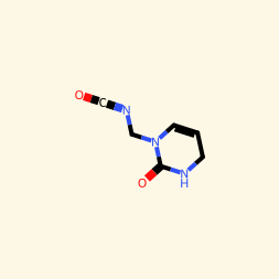 O=C=NCN1C=CCNC1=O